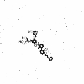 Cc1c(COc2cc(OCc3cncc(C#N)c3)c(CN[C@@H](CO)C(=O)O)cc2Cl)cccc1-c1cccc(OCCCN2CCCC2)c1C(F)(F)F